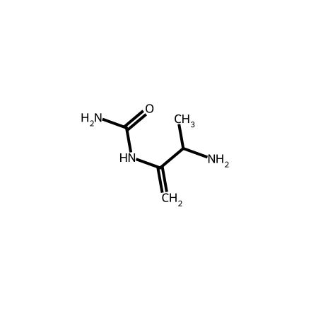 C=C(NC(N)=O)C(C)N